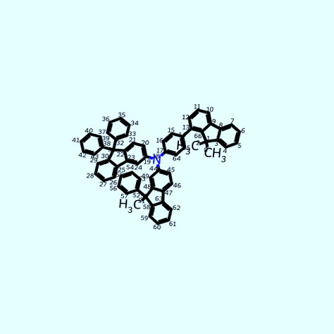 CC1(C)c2ccccc2-c2cccc(-c3ccc(N(c4ccc5c(c4)-c4ccccc4C5(c4ccccc4)c4ccccc4)c4ccc5c(c4)C(C)(c4ccccc4)c4ccccc4-5)cc3)c21